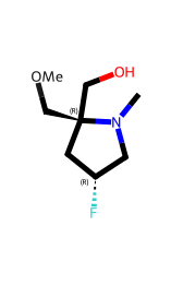 COC[C@]1(CO)C[C@@H](F)CN1C